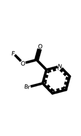 O=C(OF)c1ncccc1Br